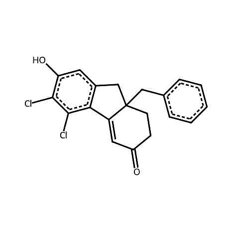 O=C1C=C2c3c(cc(O)c(Cl)c3Cl)CC2(Cc2ccccc2)CC1